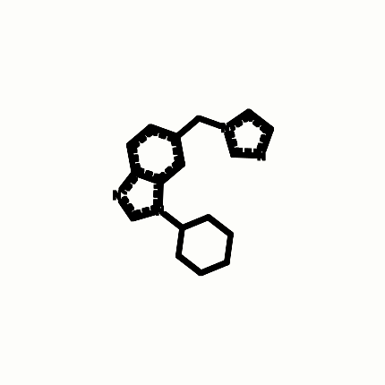 c1cn(Cc2ccc3ncn(C4CCCCC4)c3c2)cn1